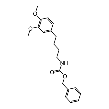 COc1ccc(CCCCNC(=O)OCc2ccccc2)cc1OC